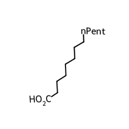 [CH2]CCCCCCCCCCCC(=O)O